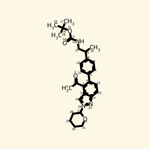 CC(=O)c1c(-c2ccc(C(C)CNC(=O)OC(C)(C)C)cc2)ccc2nn(C3CCCCO3)cc12